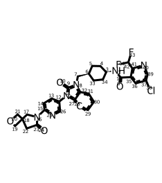 O=C(N[C@H]1CC[C@H](Cn2c(=O)n(-c3ccc(N4CC5(COC5)CC4=O)nc3)c3ccccc32)CC1)c1cc(Cl)cnc1C(F)F